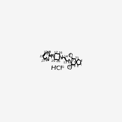 Cl.O=C1CC2(CCCC2)CC(=O)N1CCN1CCN(c2ncccn2)CC1